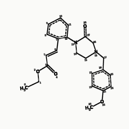 CCOC(=O)/C=C/c1ccccc1N1CCN(Cc2ccc(OC)cc2)CC1=O